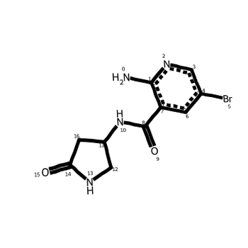 Nc1ncc(Br)cc1C(=O)NC1CNC(=O)C1